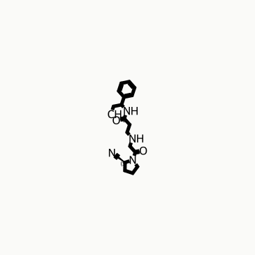 CCC(NC(=O)CCNCC(=O)N1CCC[C@H]1C#N)c1ccccc1